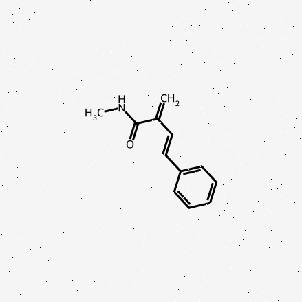 C=C(C=Cc1ccccc1)C(=O)NC